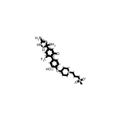 CS(=O)(=O)CCCN1CCC(Oc2ccc(-c3c(Cl)cc(C4(N)N=C(N)NN4)cc3C(F)(F)F)cc2)CC1.Cl